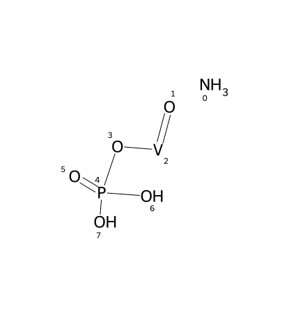 N.[O]=[V][O]P(=O)(O)O